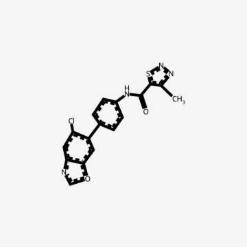 Cc1nnsc1C(=O)Nc1ccc(-c2cc3ocnc3cc2Cl)cc1